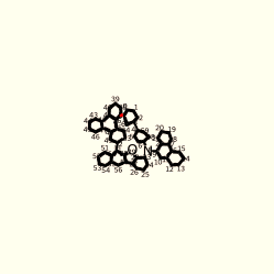 c1ccc(-c2ccc(N(c3cc4ccccc4c4ccccc34)c3cccc4c3oc3c(-c5ccc6c7ccccc7c7ccccc7c6c5)c5ccccc5cc34)cc2)cc1